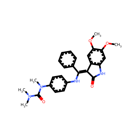 COc1cc2c(cc1OC)/C(=C(/Nc1ccc(N(C)C(=O)N(C)C)cc1)c1ccccc1)C(=O)N2